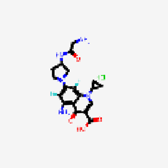 Cl.NCC(=O)NC1CCN(c2c(F)c(N)c3c(=O)c(C(=O)O)cn(C4CC4)c3c2F)C1